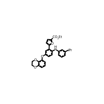 CCOC(=O)c1ccc(-c2cc(Oc3cccc4c3OCCO4)ccc2Nc2cccc(C(C)C)c2)o1